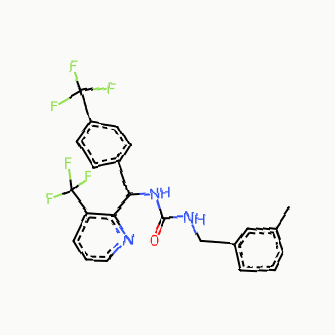 Cc1cccc(CNC(=O)NC(c2ccc(C(F)(F)F)cc2)c2ncccc2C(F)(F)F)c1